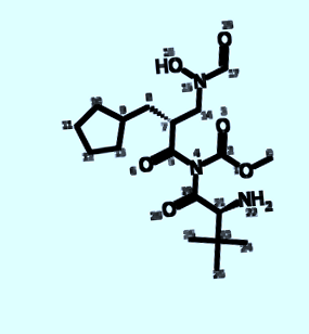 COC(=O)N(C(=O)[C@H](CC1CCCC1)CN(O)C=O)C(=O)[C@@H](N)C(C)(C)C